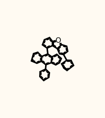 c1ccc(-c2ccc3oc4cccc(-c5c6ccccc6c(-c6ccccc6)c6ccccc56)c4c3c2)cc1